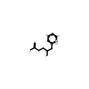 C=C(C)CCC(C)Cc1ccccn1